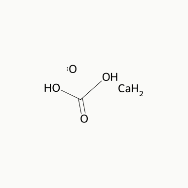 O=C(O)O.[CaH2].[O]